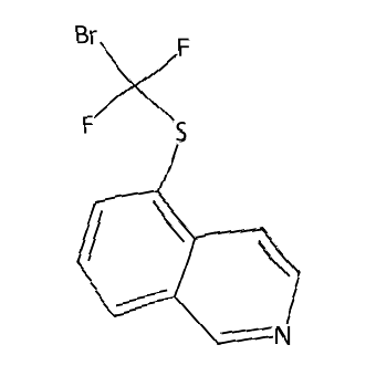 FC(F)(Br)Sc1cccc2cnccc12